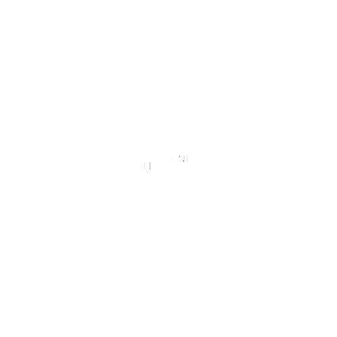 CCNC.[Hf]